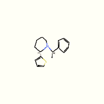 C[C@H](c1ccccc1)N1CCCC[C@H]1c1cccs1